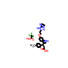 Cc1ccc(C(CC(=O)O)c2c[nH]c3cc(OCCCNc4ncc[nH]4)ccc23)cc1.O=C(O)C(F)(F)F